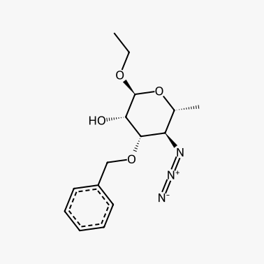 CCO[C@H]1O[C@H](C)[C@@H](N=[N+]=[N-])[C@H](OCc2ccccc2)[C@@H]1O